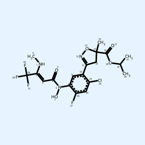 CN/C(=C\C(=O)N(O)c1cc(C2=NOC(C)(C(=O)OC(C)C)C2)c(Cl)cc1F)C(F)(F)F